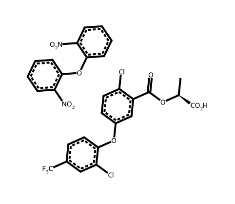 C[C@H](OC(=O)c1cc(Oc2ccc(C(F)(F)F)cc2Cl)ccc1Cl)C(=O)O.O=[N+]([O-])c1ccccc1Oc1ccccc1[N+](=O)[O-]